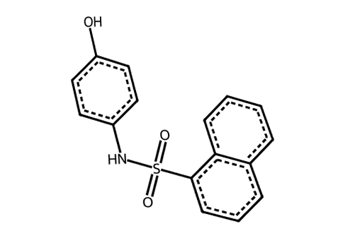 O=S(=O)(Nc1ccc(O)cc1)c1cccc2ccccc12